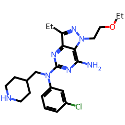 CCOCCn1nc(CC)c2nc(N(CC3CCNCC3)c3cccc(Cl)c3)nc(N)c21